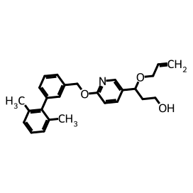 C=CCOC(CCO)c1ccc(OCc2cccc(-c3c(C)cccc3C)c2)nc1